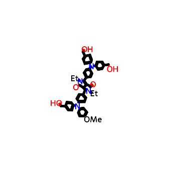 CCN1C(=O)C2=C(c3ccc(N(c4ccc(CO)cc4)c4ccc(OC)cc4)cc3)N(CC)C(=O)C2=C1c1ccc(N(c2ccc(CO)cc2)c2ccc(CO)cc2)cc1